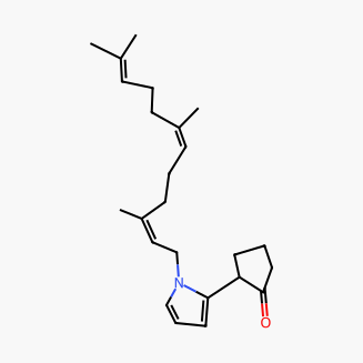 CC(C)=CCCC(C)=CCCC(C)=CCn1cccc1C1CCCC1=O